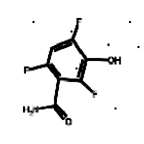 NC(=O)c1c(F)cc(F)c(O)c1F